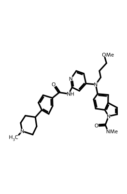 CNC(=O)n1ccc2cc(N(CCCOC)c3ccnc(NC(=O)c4ccc(C5CCN(C)CC5)cc4)c3)ccc21